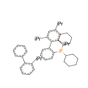 CC(C)c1cc(C(C)C)c(-c2ccccc2P(C2CCCCC2)C2CCCCC2)c(C(C)C)c1.CC(C)c1ccccc1-c1ccccc1